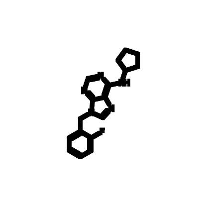 Fc1ccccc1Cn1cnc2c(NC3CCCC3)ncnc21